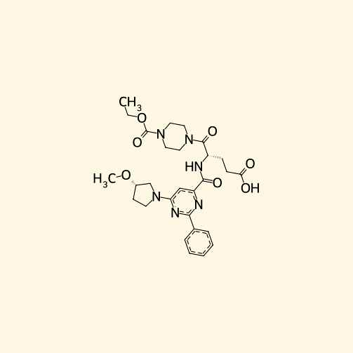 CCOC(=O)N1CCN(C(=O)[C@H](CCC(=O)O)NC(=O)c2cc(N3CC[C@H](OC)C3)nc(-c3ccccc3)n2)CC1